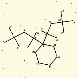 CC(C)(C)CC(C)(C)C1(C(C)(C)CC(C)(C)C)CC[CH]CC1